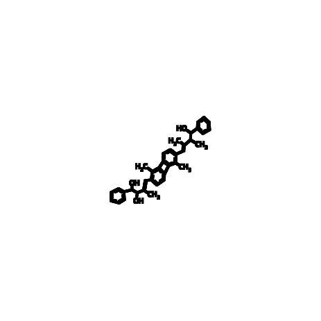 C/C(=C\c1ccc2c(c1C)-c1ccc(/C=C(\C)C(O)C(O)c3ccccc3)c(C)c1-2)C(C)C(O)c1ccccc1